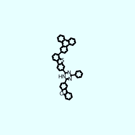 c1ccc(C2=NC(c3ccc4c(c3)sc3c(-c5ccc6c7ccccc7c7ccccc7c6c5)cccc34)NC(c3ccc4oc5ccccc5c4c3)=N2)cc1